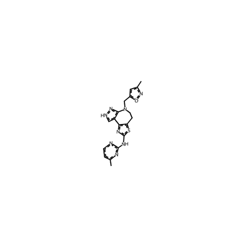 Cc1cc(CN2CCc3sc(Nc4nccc(C)n4)nc3-c3c[nH]nc32)on1